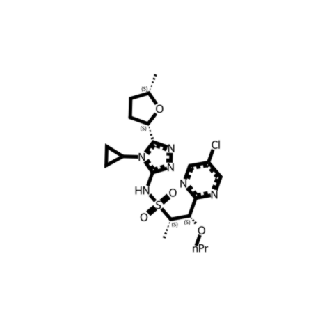 CCCO[C@@H](c1ncc(Cl)cn1)[C@H](C)S(=O)(=O)Nc1nnc([C@@H]2CC[C@H](C)O2)n1C1CC1